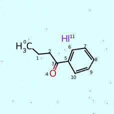 CCCC(=O)c1ccccc1.I